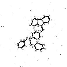 C(=C1c2ccccc2-c2ccccc21)c1ccc(N(Cc2ccccc2)Cc2ccccc2)cc1